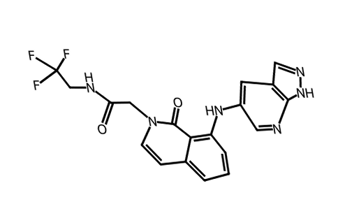 O=C(Cn1ccc2cccc(Nc3cnc4[nH]ncc4c3)c2c1=O)NCC(F)(F)F